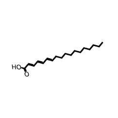 CCCCCCCCCCC/C=C/C=C/C=C/C(=O)O